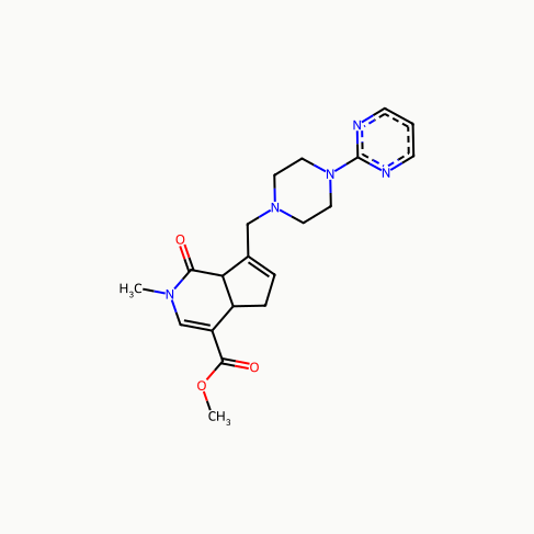 COC(=O)C1=CN(C)C(=O)C2C(CN3CCN(c4ncccn4)CC3)=CCC12